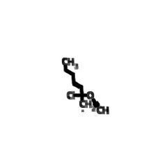 C#COC([CH2])(Cl)C=CCCC